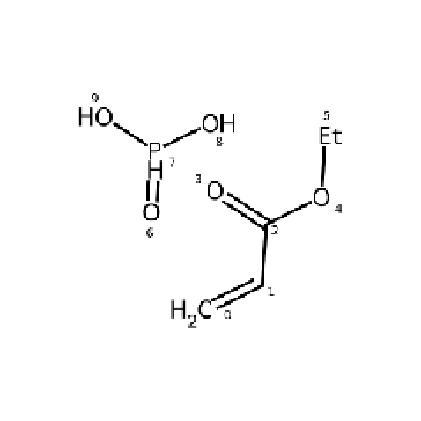 C=CC(=O)OCC.O=[PH](O)O